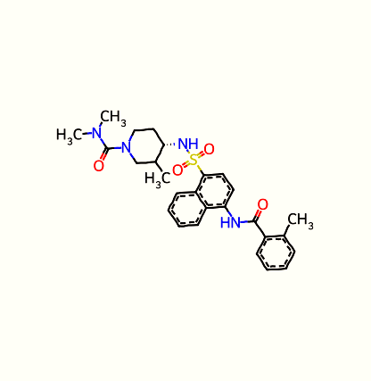 Cc1ccccc1C(=O)Nc1ccc(S(=O)(=O)N[C@H]2CCN(C(=O)N(C)C)CC2C)c2ccccc12